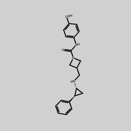 COc1ccc(NC(=O)N2CC(CN[C@@H]3C[C@H]3c3ccccc3)C2)cc1